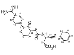 N=C(N)c1ccc(N2CCCC(CC(=O)NC(C#Cc3ccccc3)CC(=O)O)C2=O)cc1